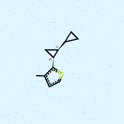 Cc1ccsc1[C@@H]1C[C@H]1C1CC1